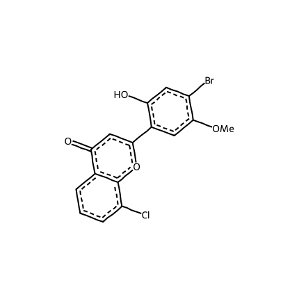 COc1cc(-c2cc(=O)c3cccc(Cl)c3o2)c(O)cc1Br